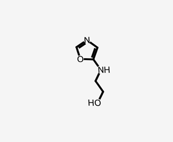 OCCNc1cnco1